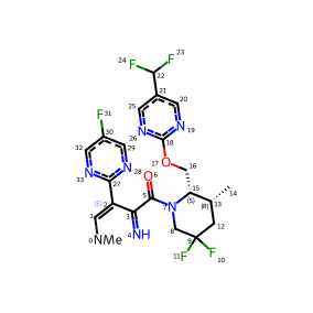 CN/C=C(\C(=N)C(=O)N1CC(F)(F)C[C@@H](C)[C@H]1COc1ncc(C(F)F)cn1)c1ncc(F)cn1